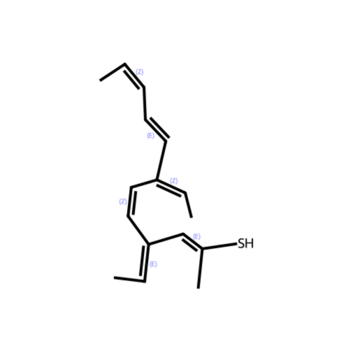 C\C=C/C=C/C(/C=C\C(\C=C(/C)S)=C/C)=C/C